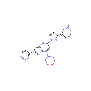 c1cc(-c2cc3nc(-n4ccc([C@@H]5CCCNC5)n4)cc(N4CCOCC4)n3n2)ccn1